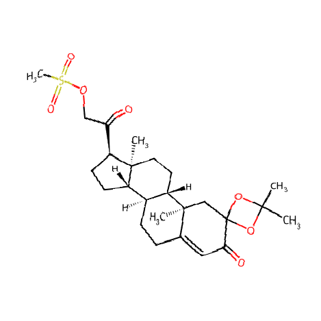 CC1(C)OC2(C[C@@]3(C)C(=CC2=O)CC[C@H]2[C@@H]4CC[C@@H](C(=O)COS(C)(=O)=O)[C@@]4(C)CC[C@@H]23)O1